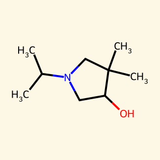 CC(C)N1CC(O)C(C)(C)C1